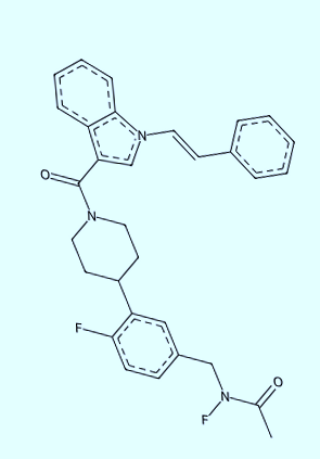 CC(=O)N(F)Cc1ccc(F)c(C2CCN(C(=O)c3cn(C=Cc4ccccc4)c4ccccc34)CC2)c1